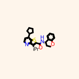 CC(C)c1c(C(=O)N[C@H]2CCOc3ccccc32)sc2c(C3CCCC3)ccnc12